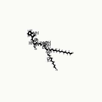 CCCCCCCCCCCCCC(=O)N[C@H](COCC[C@@H](CCCCCCC)OC)COP(=O)(O)OCCNC(=O)[C@H](CC)NC(=O)Cc1c[nH]c2ccccc12